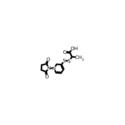 CC(SSC1=CC=CN(N2C(=O)CCC2=O)C1)C(=O)O